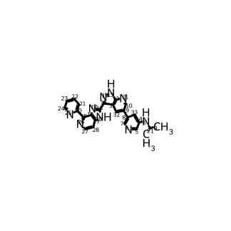 CC(C)Nc1cncc(-c2cnc3[nH]nc(-c4nc5c(-c6ccccn6)nccc5[nH]4)c3c2)c1